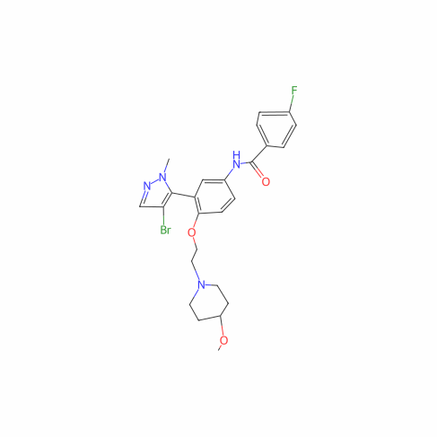 COC1CCN(CCOc2ccc(NC(=O)c3ccc(F)cc3)cc2-c2c(Br)cnn2C)CC1